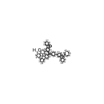 CC1C=C(C2(c3ccccc3)c3ccccc3-c3ccc(N(c4ccc(-c5ccc6c(c5)c5ccccc5n6C5=CCC=CC=C5)cc4)c4ccc5c(c4)oc4ccccc45)cc32)C=CC1